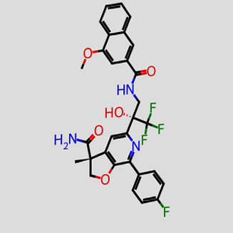 COc1cc(C(=O)NC[C@](O)(c2cc3c(c(-c4ccc(F)cc4)n2)OC[C@]3(C)C(N)=O)C(F)(F)F)cc2ccccc12